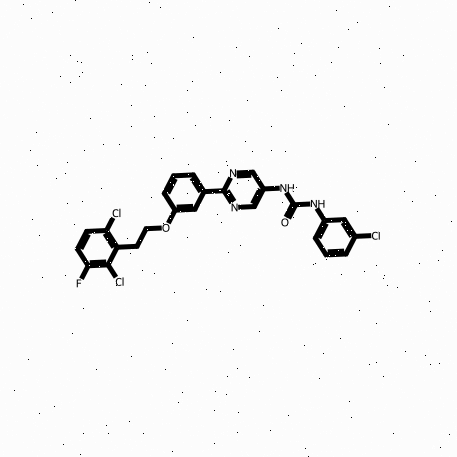 O=C(Nc1cnc(-c2cccc(OCCc3c(Cl)ccc(F)c3Cl)c2)nc1)Nc1cccc(Cl)c1